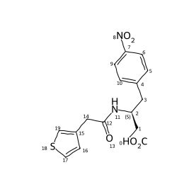 O=C(O)C[C@H](Cc1ccc([N+](=O)[O-])cc1)NC(=O)Cc1ccsc1